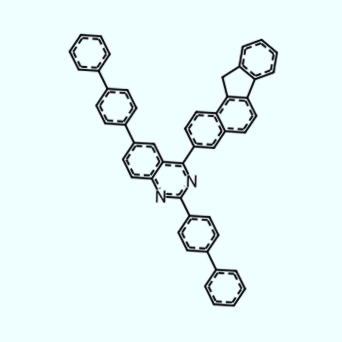 c1ccc(-c2ccc(-c3ccc4nc(-c5ccc(-c6ccccc6)cc5)nc(-c5ccc6c7c(ccc6c5)-c5ccccc5C7)c4c3)cc2)cc1